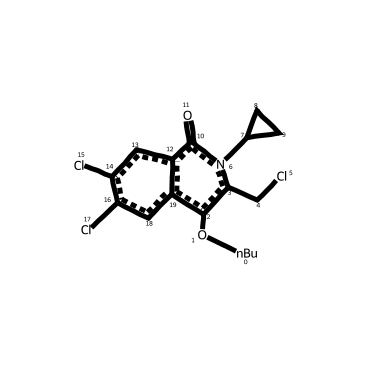 CCCCOc1c(CCl)n(C2CC2)c(=O)c2cc(Cl)c(Cl)cc12